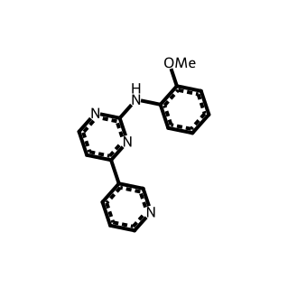 COc1ccccc1Nc1nccc(-c2cccnc2)n1